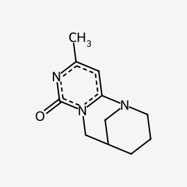 Cc1cc2n(c(=O)n1)CC1CCCN2C1